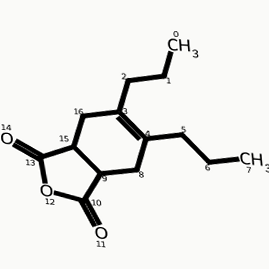 CCCC1=C(CCC)CC2C(=O)OC(=O)C2C1